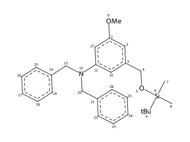 COc1cc(CO[Si](C)(C)C(C)(C)C)cc(N(Cc2ccccc2)Cc2ccccc2)c1